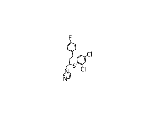 Fc1ccc(CCC(Cn2ccnc2)Sc2ccc(Cl)cc2Cl)cc1